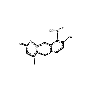 Cc1cc(=O)oc2cc3c([N+](=O)[O-])c(O)ccc3cc12